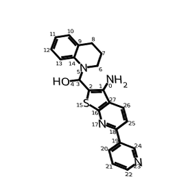 Nc1c(C(O)N2CCCc3ccccc32)sc2nc(-c3cccnc3)ccc12